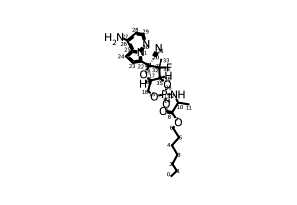 CCCCCCCOC(=O)C(C)NP1(=O)OC[C@H]2O[C@@](C#N)(c3ccc4c(N)ccnn34)[C@](C)(F)[C@@H]2O1